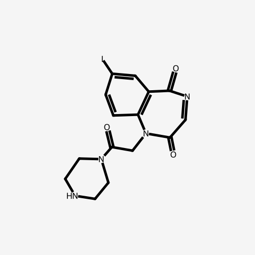 O=C(Cn1c(=O)cnc(=O)c2cc(I)ccc21)N1CCNCC1